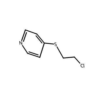 ClCCSc1ccncc1